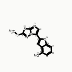 CSc1nn2c(-c3cc4c(O)cccc4o3)cnc2s1